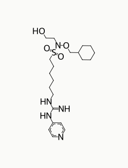 N=C(NCCCCCCS(=O)(=O)N(CCO)OCC1CCCCC1)Nc1ccncc1